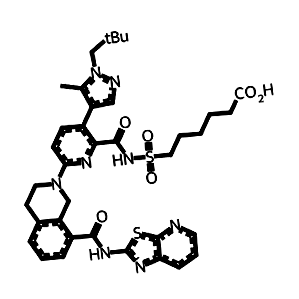 Cc1c(-c2ccc(N3CCc4cccc(C(=O)Nc5nc6cccnc6s5)c4C3)nc2C(=O)NS(=O)(=O)CCCCCC(=O)O)cnn1CC(C)(C)C